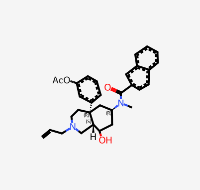 C=CCN1CC[C@@]2(c3cccc(OC(C)=O)c3)C[C@@H](N(C)C(=O)c3ccc4ccccc4c3)CC(O)[C@@H]2C1